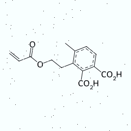 C=CC(=O)OCCc1c(C)ccc(C(=O)O)c1C(=O)O